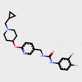 O=C(NCc1ccc(OC2CCN(CC3CC3)CC2)nc1)Nc1ccc(F)c(Cl)c1